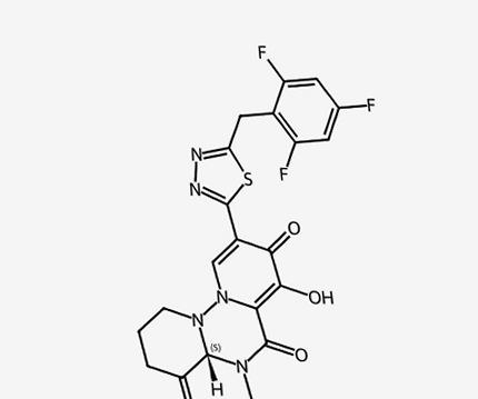 C=C1CCCN2[C@@H]1N(C)C(=O)c1c(O)c(=O)c(-c3nnc(Cc4c(F)cc(F)cc4F)s3)cn12